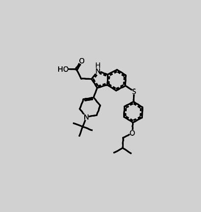 CC(C)COc1ccc(Sc2ccc3[nH]c(CC(=O)O)c(C4=CCN(C(C)(C)C)CC4)c3c2)cc1